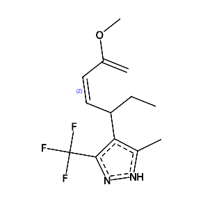 C=C(/C=C\C(CC)c1c(C(F)(F)F)n[nH]c1C)OC